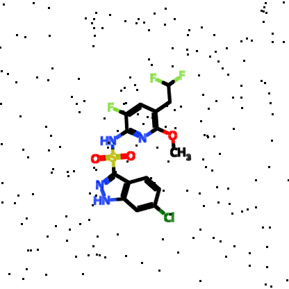 COc1nc(NS(=O)(=O)c2n[nH]c3cc(Cl)ccc23)c(F)cc1CC(F)F